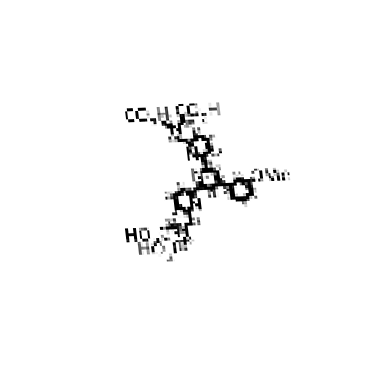 COc1cccc(-c2cc(-c3cccc(CN(CC(=O)O)CC(=O)O)n3)nc(-c3cccc(CN(CC(=O)O)CC(=O)O)n3)c2)c1